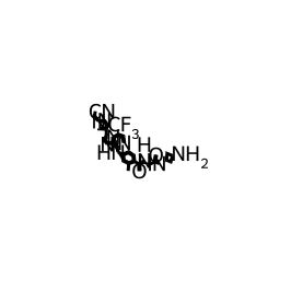 Cc1cc(Nc2nccn3c(-c4cn(CC#N)nc4C(F)(F)F)cnc23)ccc1C(=O)NCC(=O)NC1CC(N)C1